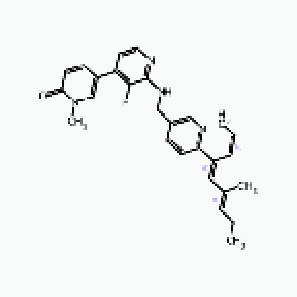 C\C=C/C(=C\C(C)=C\CC)c1ccc(CNc2nccc(-c3ccc(=O)n(C)c3)c2F)cn1